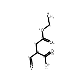 CCOC(=O)CC(C=O)C(=O)O